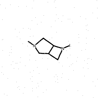 CN1CC2CN(I)C2C1